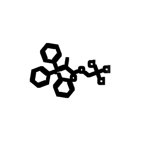 CC(C(=O)OCC(Cl)(Cl)Cl)=P(c1ccccc1)(c1ccccc1)c1ccccc1